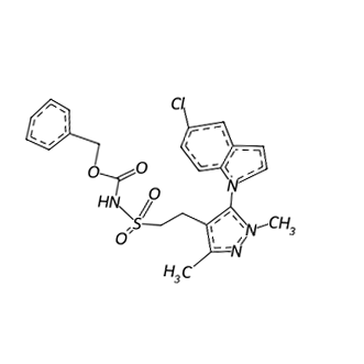 Cc1nn(C)c(-n2ccc3cc(Cl)ccc32)c1CCS(=O)(=O)NC(=O)OCc1ccccc1